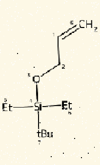 C=CCO[Si](CC)(CC)C(C)(C)C